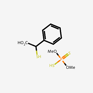 COP(=S)(S)OC.O=C(O)C(S)c1ccccc1